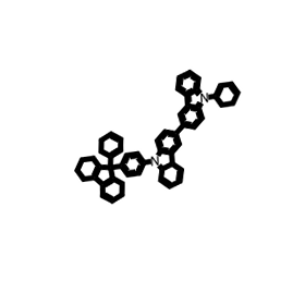 C1=CCCC(n2c3ccccc3c3cc(-c4ccc5c(c4)C4C=CC=CC4N5c4ccc(C5(C6=CC=CCC6)C6=C(C=CCC6)C6=C5CCCC6)cc4)ccc32)=C1